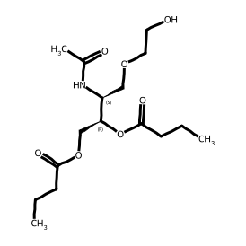 CCCC(=O)OC[C@H](OC(=O)CCC)[C@H](COCCO)NC(C)=O